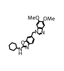 COc1cc2ncn(Cc3ccc4nc(NC5CCCCC5)oc4c3)c2cc1OC